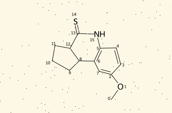 COc1ccc2c(c1)C1CCCC1C(=S)N2